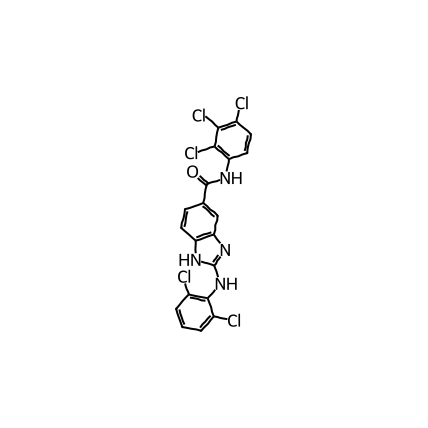 O=C(Nc1ccc(Cl)c(Cl)c1Cl)c1ccc2[nH]c(Nc3c(Cl)cccc3Cl)nc2c1